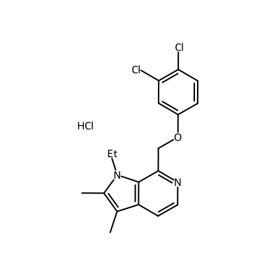 CCn1c(C)c(C)c2ccnc(COc3ccc(Cl)c(Cl)c3)c21.Cl